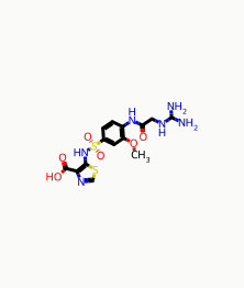 COc1cc(S(=O)(=O)Nc2scnc2C(=O)O)ccc1NC(=O)CNC(N)N